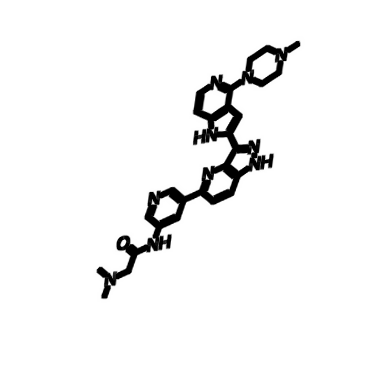 CN(C)CC(=O)Nc1cncc(-c2ccc3[nH]nc(-c4cc5c(N6CCN(C)CC6)nccc5[nH]4)c3n2)c1